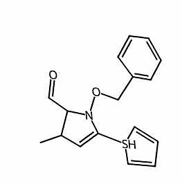 CC1C=C([SH]2C=CC=C2)N(OCc2ccccc2)C1C=O